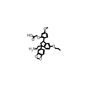 CCCOc1ccc2c(c1)C(c1ccc(OC)cc1OCC(=O)O)CC2(CCN)c1ccc2c(c1)OCO2